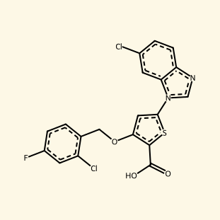 O=C(O)c1sc(-n2cnc3ccc(Cl)cc32)cc1OCc1ccc(F)cc1Cl